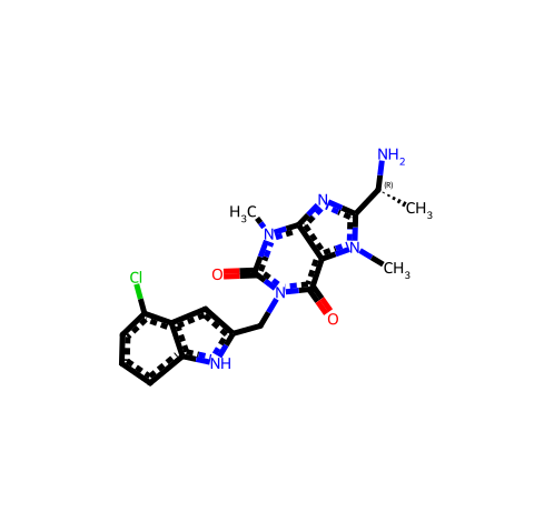 C[C@@H](N)c1nc2c(c(=O)n(Cc3cc4c(Cl)cccc4[nH]3)c(=O)n2C)n1C